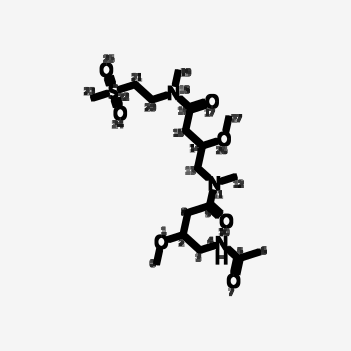 COC(CNC(C)=O)CC(=O)N(C)CC(CC(=O)N(C)CCS(C)(=O)=O)OC